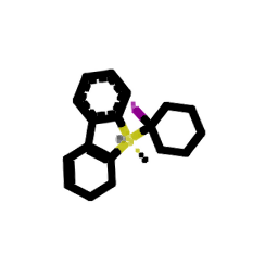 C[S@]1(C2(I)CCCCC2)C2=C(C=CCC2)c2ccccc21